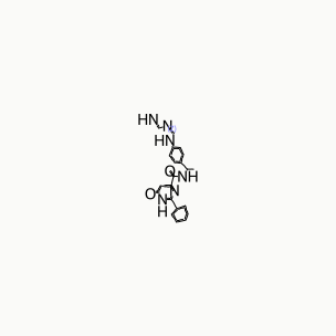 CC(NC(=O)c1cc(=O)[nH]c(-c2ccccc2)n1)c1ccc(N/C=N\C=N)cc1